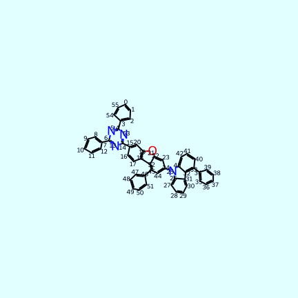 c1ccc(-c2nc(-c3ccccc3)nc(-c3ccc4c(c3)oc3cc(-n5c6ccccc6c6c(-c7ccccc7)cccc65)cc(-c5ccccc5)c34)n2)cc1